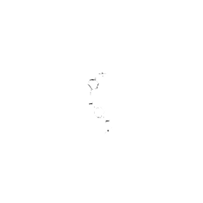 CC(C)(C)OC(=O)N1CCN(C(=O)OCc2ccc(OC(F)(F)F)cc2)CC1